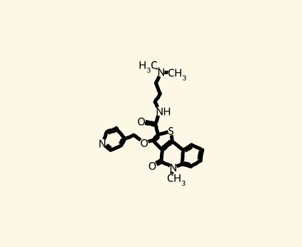 CN(C)CCCNC(=O)c1sc2c(c1OCc1ccncc1)c(=O)n(C)c1ccccc21